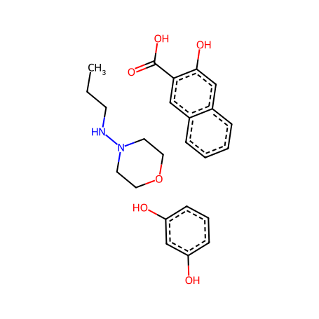 CCCNN1CCOCC1.O=C(O)c1cc2ccccc2cc1O.Oc1cccc(O)c1